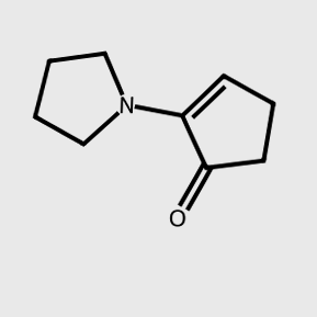 O=C1CCC=C1N1CCCC1